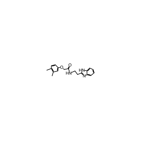 Cc1ccc(OCC(=O)NCCc2nc3ccccc3[nH]2)cc1C